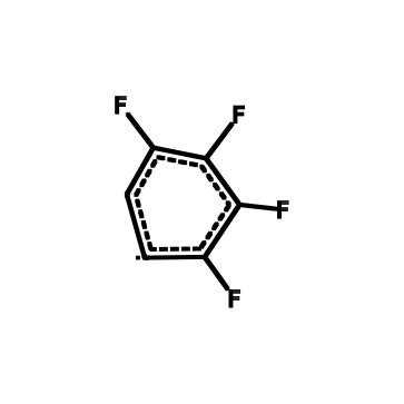 Fc1[c]cc(F)c(F)c1F